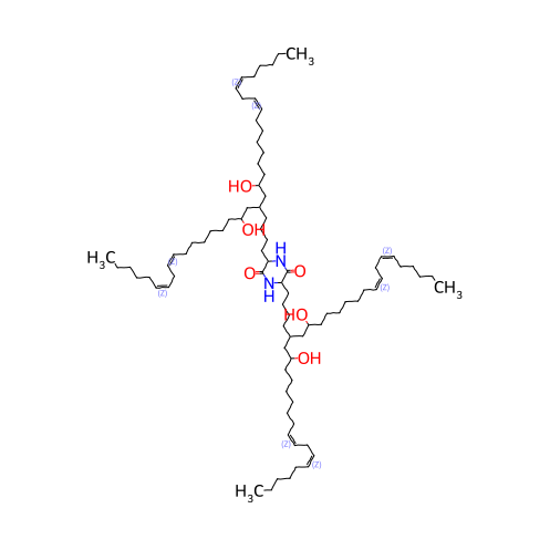 CCCCC/C=C\C/C=C\CCCCCCC(O)CC(CCCCC1NC(=O)C(CCCCC(CC(O)CCCCCC/C=C\C/C=C\CCCCC)CC(O)CCCCCC/C=C\C/C=C\CCCCC)NC1=O)CC(O)CCCCCC/C=C\C/C=C\CCCCC